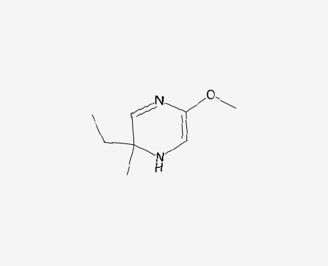 CCC1(C)C=NC(OC)=CN1